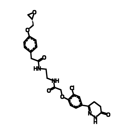 O=C(COc1ccc(C2=NNC(=O)CC2)cc1Cl)NCCNC(=O)Cc1ccc(OC[C@@H]2CO2)cc1